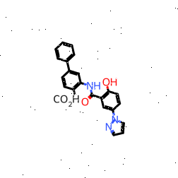 O=C(Nc1cc(-c2ccccc2)ccc1C(=O)O)c1cc(-n2cccn2)ccc1O